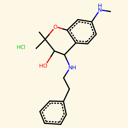 CNc1ccc2c(c1)OC(C)(C)C(O)C2NCCc1ccccc1.Cl